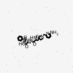 Nc1cccc(CN2CCC3(CC(C(=O)NC[C@H](NS(=O)(=O)c4ccccc4)C(=O)O)=NO3)C2)n1